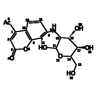 CC(=O)c1cc(=O)oc2cc(NC3C(O)OC(CO)[C@H](O)[C@H]3O)ccc12